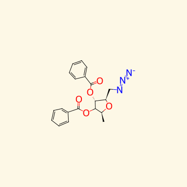 C[C@@H]1O[C@H](CN=[N+]=[N-])[C@@H](OC(=O)c2ccccc2)C1OC(=O)c1ccccc1